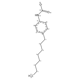 CCCCCCCCc1ccc(NC([O])=O)cc1